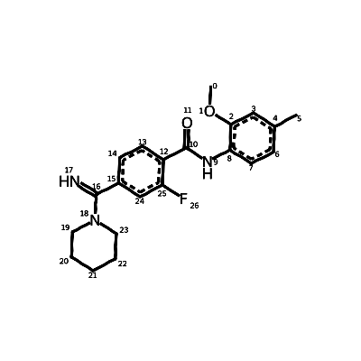 COc1cc(C)ccc1NC(=O)c1ccc(C(=N)N2CCCCC2)cc1F